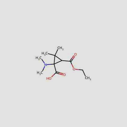 CCOC(=O)C1C(C)(C)C1(C(=O)O)N(C)C